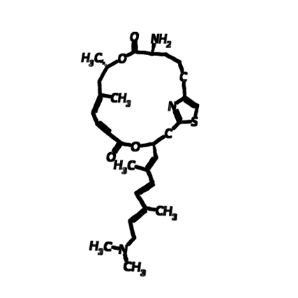 CC(/C=C/C(C)=C/[C@@H]1Cc2nc(cs2)CCC[C@H](N)C(=O)O[C@@H](C)C/C(C)=C/C=C\C(=O)O1)=C\CN(C)C